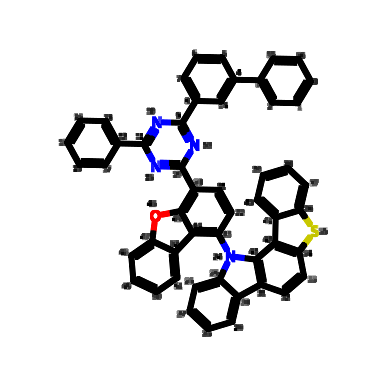 c1ccc(-c2cccc(-c3nc(-c4ccccc4)nc(-c4ccc(-n5c6ccccc6c6ccc7sc8ccccc8c7c65)c5c4oc4ccccc45)n3)c2)cc1